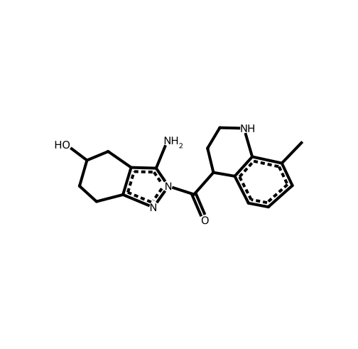 Cc1cccc2c1NCCC2C(=O)n1nc2c(c1N)CC(O)CC2